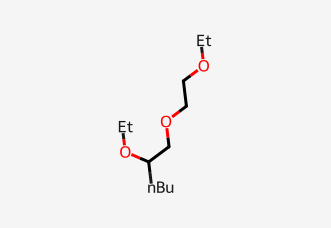 CCCCC(COCCOCC)OCC